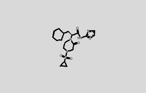 O=C(Nc1nccs1)[C@H](CC1CCCCC1)N1CCN(S(=O)(=O)C2CC2)CC1=O